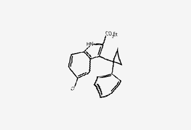 CCOC(=O)c1[nH]c2ccc(Cl)cc2c1C1(c2ccccc2)CC1